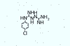 N=C(N)NNC(=N)Nc1ccc(Cl)cc1